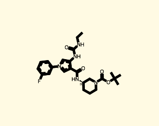 CCNC(=O)Nc1cn(-c2cccc(F)c2)cc1C(=O)N[C@H]1CCCN(C(=O)OC(C)(C)C)C1